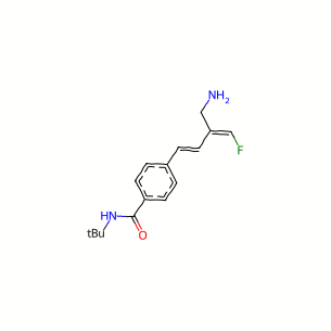 CC(C)(C)NC(=O)c1ccc(/C=C/C(=C\F)CN)cc1